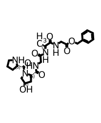 C[C@H](NC(=O)CNC(=O)[C@@H]1C[C@@H](O)CN1C(=O)[C@@H]1CCCN1)C(=O)NCC(=O)OCc1ccccc1